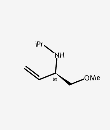 C=C[C@H](COC)NC(C)C